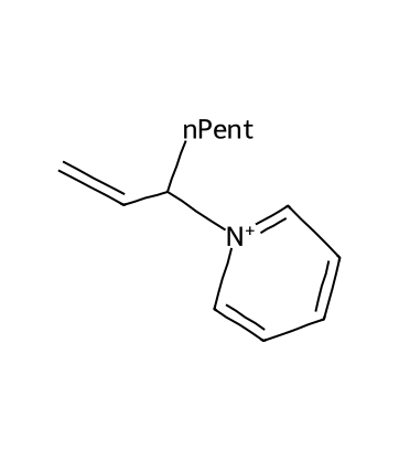 C=CC(CCCCC)[n+]1ccccc1